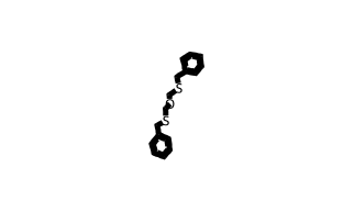 c1ccc(CSCOCSCc2ccccc2)cc1